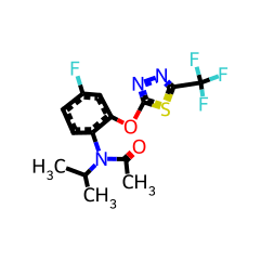 CC(=O)N(c1ccc(F)cc1Oc1nnc(C(F)(F)F)s1)C(C)C